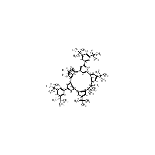 CC(C)(C)c1cc(-c2cc3cc(n2)-c2cc(C(C)(C)C)cc(c2)C(C)(C)C(C)(C)c2cc(cc(C(C)(C)C)c2)-c2cc(cc(-c4cc(C(C)(C)C)cc(C(C)(C)C)c4)n2)-c2cccc-3c2C(C)(C)C)cc(C(C)(C)C)c1